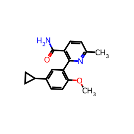 COc1ccc(C2CC2)cc1-c1nc(C)ccc1C(N)=O